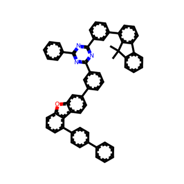 CC1(C)c2ccccc2-c2cccc(-c3cccc(-c4nc(-c5ccccc5)nc(-c5cccc(-c6ccc7c(c6)oc6cccc(-c8ccc(-c9ccccc9)cc8)c67)c5)n4)c3)c21